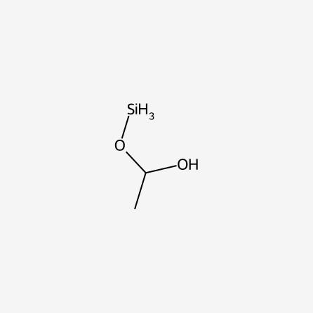 CC(O)O[SiH3]